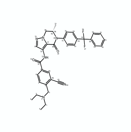 CCN(CC)Cc1ccc(C(=O)Nc2cnn3c2C(=O)N(c2ccc(C(F)(F)c4ccccc4)cc2)[C@@H](C)C3)cc1C#N